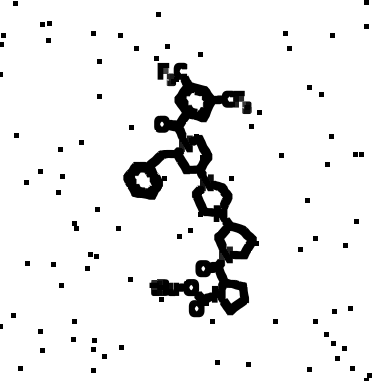 CC(C)(C)OC(=O)N1CCCC1C(=O)N1CCCC(N2CCN(C3CCN(C(=O)c4cc(C(F)(F)F)cc(C(F)(F)F)c4)C(Cc4ccccc4)C3)CC2)C1